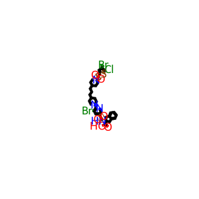 O=C(O)C1(NS(=O)(=O)c2cnc(N3CCC(CCCC4CCN(S(=O)(=O)c5cc(Br)c(Cl)s5)CC4)CC3)c(Br)c2)Cc2ccccc2C1